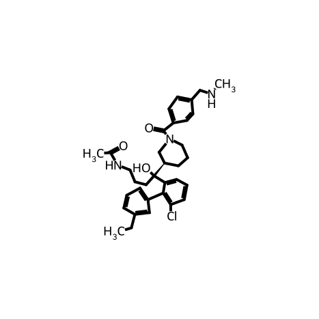 CCc1cccc(-c2c(Cl)cccc2C(O)(CCCNC(C)=O)[C@@H]2CCCN(C(=O)c3ccc(CNC)cc3)C2)c1